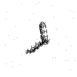 CC(C)CNCCCNCCCNCc1cc(Br)cc(CNCCCNCCCNCC(C)C)c1.Cl